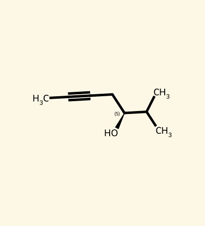 CC#CC[C@H](O)C(C)C